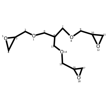 C(OCC1CO1)C(COCC1CO1)COCC1CO1